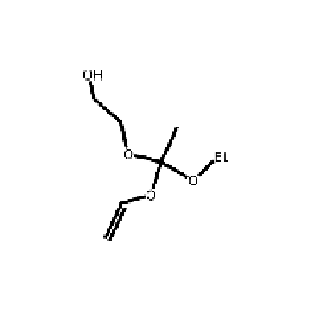 C=COC(C)(OCC)OCCO